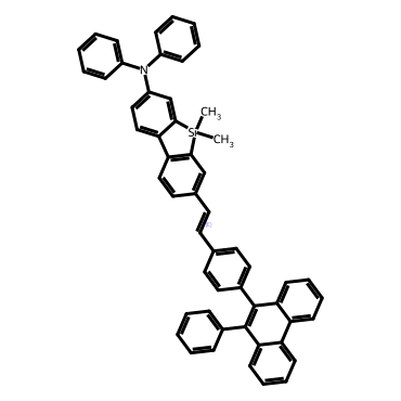 C[Si]1(C)c2cc(/C=C/c3ccc(-c4c(-c5ccccc5)c5ccccc5c5ccccc45)cc3)ccc2-c2ccc(N(c3ccccc3)c3ccccc3)cc21